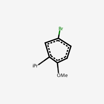 [CH2]C(C)c1cc(Br)ccc1OC